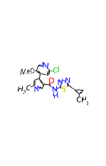 COc1cnc(Cl)cc1-c1cc(C)ncc1C(=O)Nc1nnc([C@H]2C[C@H]2C)s1